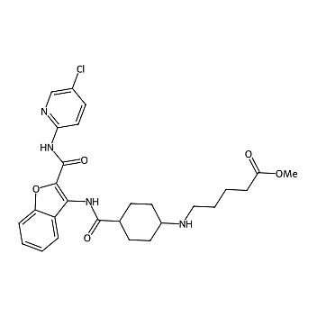 COC(=O)CCCCNC1CCC(C(=O)Nc2c(C(=O)Nc3ccc(Cl)cn3)oc3ccccc23)CC1